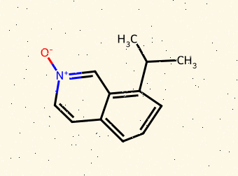 CC(C)c1cccc2cc[n+]([O-])cc12